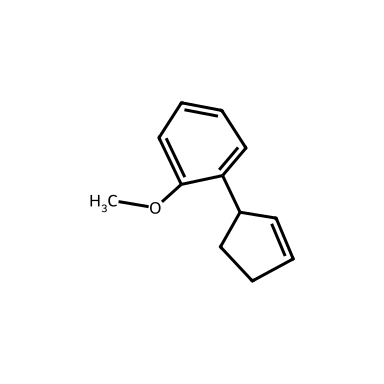 COc1ccccc1C1C=CCC1